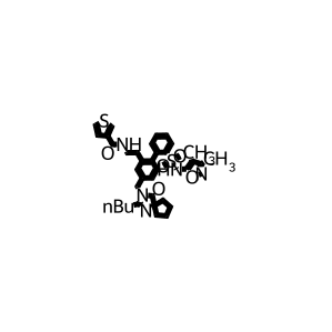 CCCCC1=NC2(CCCC2)C(=O)N1Cc1ccc(-c2ccccc2S(=O)(=O)Nc2onc(C)c2C)c(CCNC(=O)c2ccsc2)c1